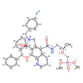 CC(C)OP(=O)(CO[C@H](C)CNC(=O)c1c2c(c(OC(c3ccccc3)c3ccccc3)c3ncccc13)C(=O)N(Cc1ccc(F)cc1)C2)OC(C)C